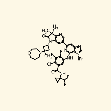 CC(C)n1cnc2cc(-c3cnc4c(c3)N([C@H]3C[C@@](C)(N5CCCOCC5)C3)C(=O)C4(C)C)nc(Nc3cc(C(=O)NC4(C(F)F)CC4)c(Cl)c(F)c3F)c21